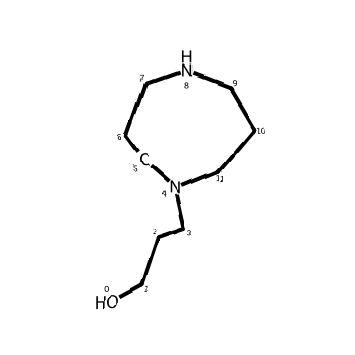 OCCCN1CCCNCCC1